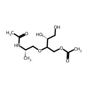 CC(=O)N[C@@H](C)COC(COC(C)=O)[C@H](O)CO